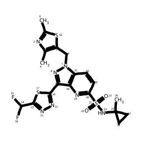 Cc1nc(C)c(Cn2nc(-c3nnc(C(F)F)s3)c3nc(S(=O)(=O)NC4(C)CC4)ccc32)s1